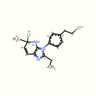 CCc1nc2c(n1-c1ccc(CCCl)cc1)NC(C)(Cl)C=C2